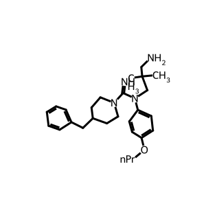 CCCOc1ccc(N(CC(C)(C)CN)C(=N)N2CCC(Cc3ccccc3)CC2)cc1